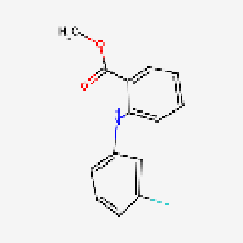 COC(=O)c1ccccc1Nc1cccc(F)c1